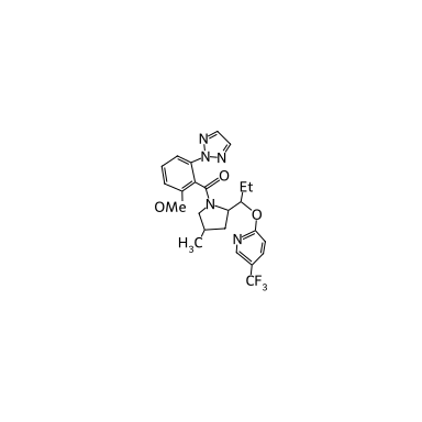 CCC(Oc1ccc(C(F)(F)F)cn1)C1CC(C)CN1C(=O)c1c(OC)cccc1-n1nccn1